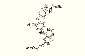 COCCOc1cc2c(Nc3ccc(Oc4ccc(C(=O)NCC(C)(C)C)cc4)c(C)c3)ncnc2cn1